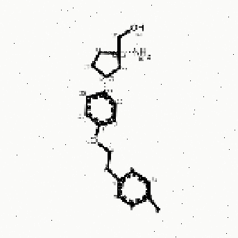 Cc1ccc(CCOc2ccc([C@@H]3CC[C@@](N)(CO)C3)cc2)cc1